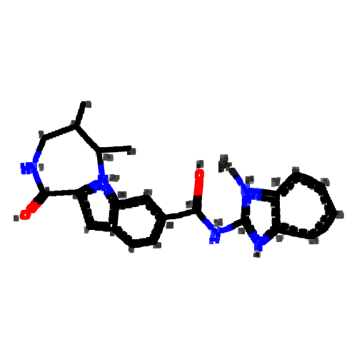 CC1CNC(=O)c2cc3ccc(C(=O)Nc4nc5ccccc5n4C(C)C)cc3n2C1C